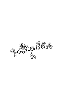 COc1cc(N=Nc2ccc(C=Cc3ccc([N+](=O)[O-])cc3S(=O)(=O)O)c(S(=O)(=O)O)c2)c(OCCS(=O)(=O)O)cc1N=Nc1c(S(=O)(=O)O)cc2cc(Nc3ccccc3)ccc2c1O